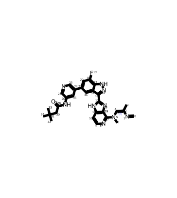 C=N/C(C)=C\N(C)c1nccc2[nH]c(-c3n[nH]c4c(F)cc(-c5cncc(NC(=O)CC(C)(C)C)c5)cc34)nc12